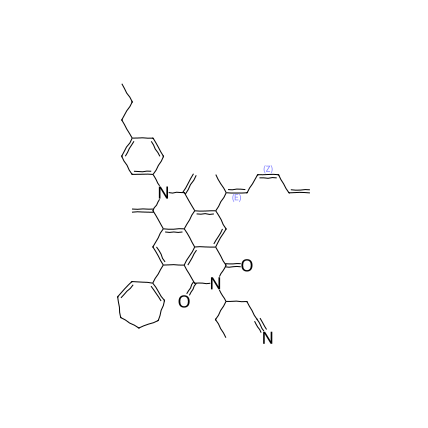 C=C/C=C\C=C(/C)c1cc2c(=O)n(C(CC)CC#N)c(=O)c3c(C4=CCCCC=C4)cc4c(=C)n(-c5ccc(CCC)cc5)c(=C)c1c4c23